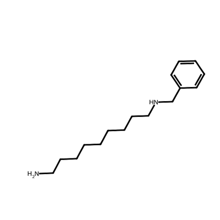 NCCCCCCCCCNCc1ccccc1